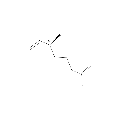 C=C[C@@H](C)CCCC(=C)C